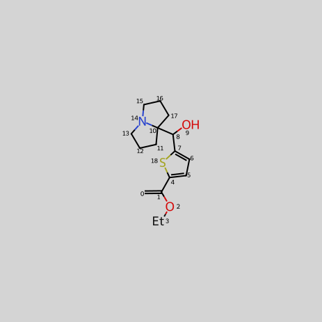 C=C(OCC)c1ccc(C(O)C23CCCN2CCC3)s1